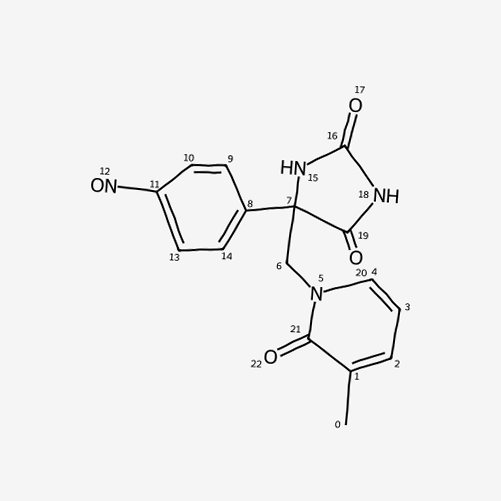 Cc1cccn(CC2(c3ccc(N=O)cc3)NC(=O)NC2=O)c1=O